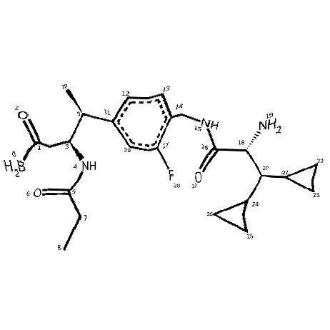 BC(=O)[C@H](NC(=O)CC)[C@@H](C)c1ccc(NC(=O)[C@H](N)C(C2CC2)C2CC2)c(F)c1